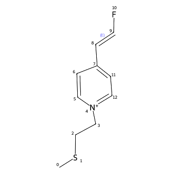 CSCC[n+]1ccc(/C=C/F)cc1